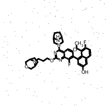 CCc1c(F)ccc2cc(O)cc(-c3c(Cl)cc4c(N5CC6CCC(C5)N6)nc(OCCCN5C6CCC5COC6)nc4c3F)c12